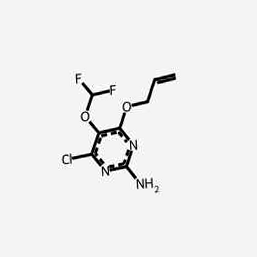 C=CCOc1nc(N)nc(Cl)c1OC(F)F